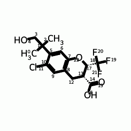 CC(C)(CO)c1cc2c(cc1Cl)C[C@@H](C(=O)O)[C@@H](C(F)(F)F)O2